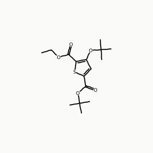 CCOC(=O)c1sc(C(=O)OC(C)(C)C)cc1OC(C)(C)C